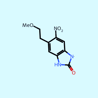 COCCc1cc2c(cc1[N+](=O)[O-])[N]C(=O)N2